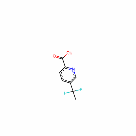 CC(F)(F)c1ccc(C(=O)O)nc1